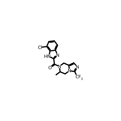 CC1Cn2c(cnc2C(F)(F)F)CN1C(=O)c1nc2cccc(Cl)c2[nH]1